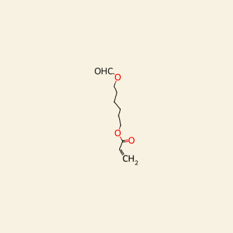 C=CC(=O)OCCCCCCOC=O